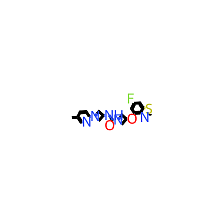 Cc1ccc(N2CC(NC(=O)N3CC(Oc4cc(F)cc5scnc45)C3)C2)nc1